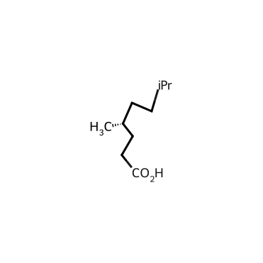 CC(C)CC[C@@H](C)CCC(=O)O